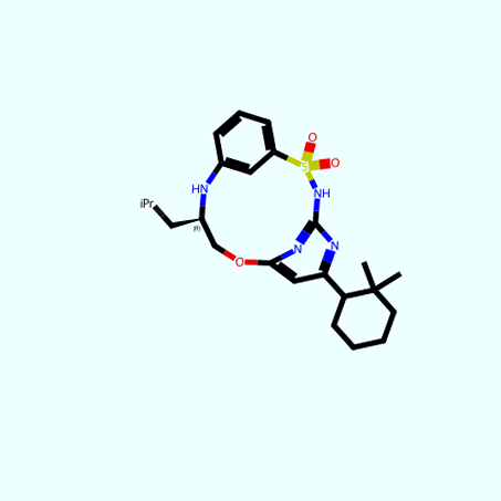 CC(C)C[C@@H]1COc2cc(C3CCCCC3(C)C)nc(n2)NS(=O)(=O)c2cccc(c2)N1